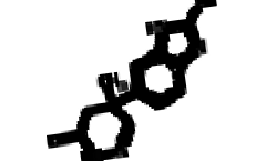 CC1(c2ccc3nc(S)[nH]c3c2)C=NNC(=O)C1